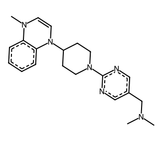 CN(C)Cc1cnc(N2CCC(N3C=CN(C)c4ccccc43)CC2)nc1